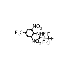 O=C(Nc1c([N+](=O)[O-])cc(C(F)(F)F)cc1[N+](=O)[O-])C(F)(F)C(F)(F)Cl